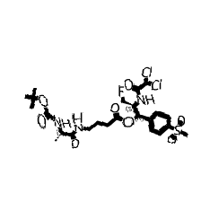 C[C@H](NC(=O)OC(C)(C)C)C(=O)NCCCC(=O)O[C@H](c1ccc(S(C)(=O)=O)cc1)[C@@H](CF)NC(=O)C(Cl)Cl